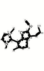 C=Nc1oc2c(-c3n(C)cc[n+]3C)c(C)ccc2c1/C=C\I